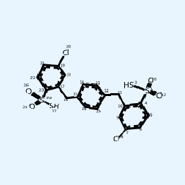 O=S(=O)(S)c1ccc(Cl)cc1Cc1ccc(Cc2cc(Cl)ccc2S(=O)(=O)S)cc1